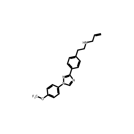 C=CCNCCc1ccc(-c2ncn(-c3ccc(OC(F)(F)F)cc3)n2)cc1